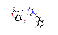 COc1ccc2c(c1)N(CCCN1CCN(CC=Cc3cc(F)ccc3F)CC1)C(=O)CO2